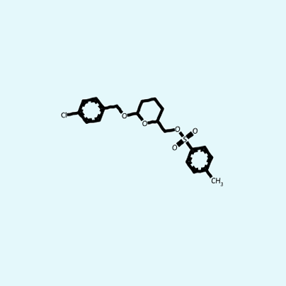 Cc1ccc(S(=O)(=O)OCC2CCCC(OCc3ccc(Cl)cc3)O2)cc1